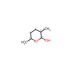 CC1CCC(C)C(O)O1